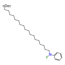 CCCCCCCCCCCCCCCCCCCCCCCCCCCCN(F)c1ccccc1